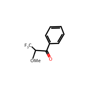 COC(C(=O)c1ccccc1)C(F)(F)F